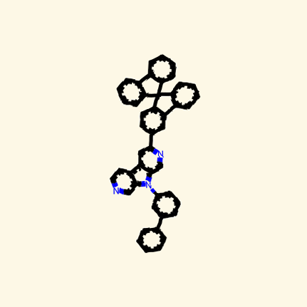 c1ccc(-c2cccc(-n3c4cnccc4c4cc(-c5ccc6c(c5)-c5ccccc5C65c6ccccc6-c6ccccc65)ncc43)c2)cc1